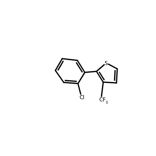 FC(F)(F)c1ccsc1-c1ccccc1Cl